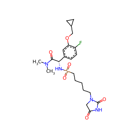 CN(C)C(=O)[C@@H](NS(=O)(=O)CCCCCN1CC(=O)NC1=O)c1ccc(F)c(OCC2CC2)c1